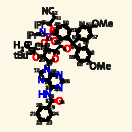 COc1ccc(C(OC[C@H]2O[C@@H](n3cnc4c(NC(=O)c5ccccc5)ncnc43)[C@H](O[Si](C)(C)C(C)(C)C)[C@@H]2OP(=O)(OCCC#N)N(C(C)C)C(C)C)(c2ccccc2)c2ccc(OC)cc2)cc1